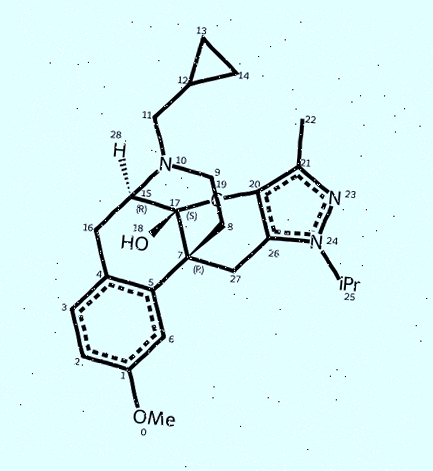 COc1ccc2c(c1)[C@]13CCN(CC4CC4)[C@H](C2)[C@]1(O)Cc1c(C)nn(C(C)C)c1C3